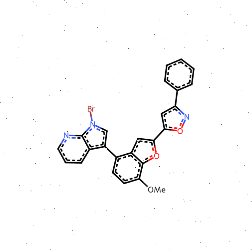 COc1ccc(-c2cn(Br)c3ncccc23)c2cc(-c3cc(-c4ccccc4)no3)oc12